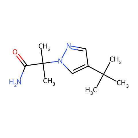 CC(C)(C)c1cnn(C(C)(C)C(N)=O)c1